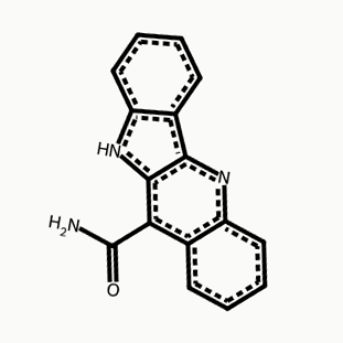 NC(=O)c1c2ccccc2nc2c1[nH]c1ccccc12